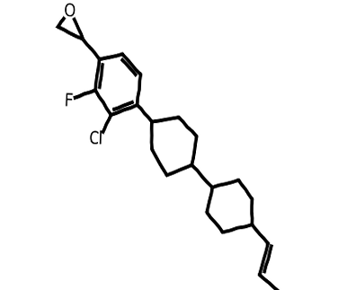 C/C=C/C1CCC(C2CCC(c3ccc(C4CO4)c(F)c3Cl)CC2)CC1